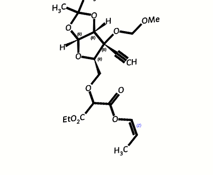 C#C[C@@]1(OCOC)[C@@H](COC(C(=O)O/C=C\C)C(=O)OCC)O[C@@H]2OC(C)(C)O[C@@H]21